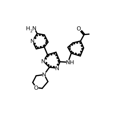 CC(=O)c1ccc(Nc2cc(-c3ccc(N)nc3)nc(N3CCOCC3)n2)cc1